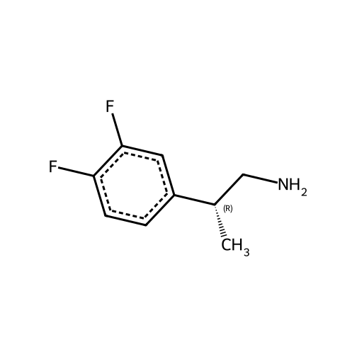 C[C@@H](CN)c1ccc(F)c(F)c1